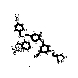 [C-]#[N+]c1ccc(CN(Cc2ccc(Oc3cc(C#N)cc(OCC4CCOC4)c3)c(F)c2)c2cccc(NS(C)(=O)=O)c2C)cc1